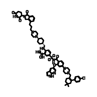 CC1(C)CCC(CN2CCN(c3ccc(C(=O)NS(=O)(=O)c4ccc(NC[C@H]5CC[C@@H](N6CCN(CCCc7cccc8c7CN(C7CCC(=O)NC7=O)C8=O)CC6)CC5)c(N(O)O)c4)c(Oc4cnc5[nH]ccc5c4)c3)CC2)=C(c2ccc(Cl)cc2)C1